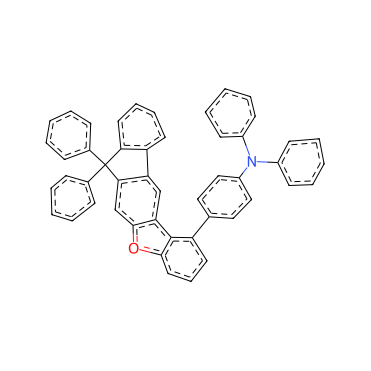 c1ccc(N(c2ccccc2)c2ccc(-c3cccc4oc5cc6c(cc5c34)-c3ccccc3C6(c3ccccc3)c3ccccc3)cc2)cc1